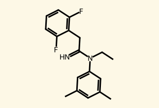 CCN(C(=N)Cc1c(F)cccc1F)c1cc(C)cc(C)c1